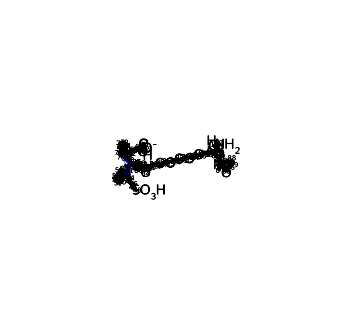 Cc1nn(-c2ccc(C(N)=O)c(NCCCOCCOCCOCCOCCOCCCNC(=O)c3ccc(C(=C\C=C4\N(CCCCS(=O)(=O)O)c5ccccc5C4(C)C)/C=C/C4=[N+](CCCCS(=O)(=O)[O-])c5ccccc5C4(C)C)cc3)c2)c2c1C(=O)CC(C)(C)C2